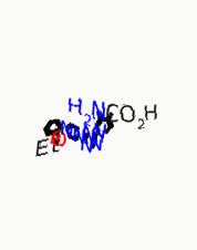 CCOc1ccccc1N1CCN(c2ncnc(N3CCC(C(=O)O)C(N)C3)n2)CC1